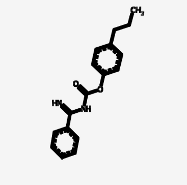 CCCc1ccc(OC(=O)NC(=N)c2cc[c]cc2)cc1